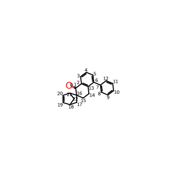 O=C1c2cccc(-c3ccccc3)c2CCC12CC1C=CC2C1